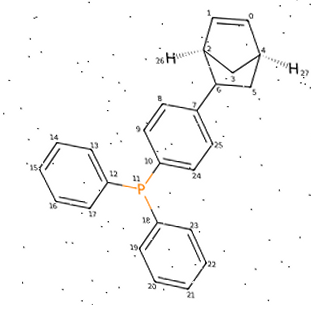 C1=C[C@H]2C[C@@H]1CC2c1ccc(P(c2ccccc2)c2ccccc2)cc1